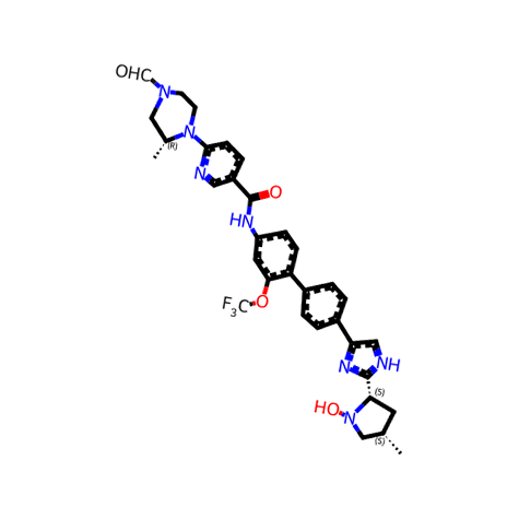 C[C@H]1C[C@@H](c2nc(-c3ccc(-c4ccc(NC(=O)c5ccc(N6CCN(C=O)C[C@H]6C)nc5)cc4OC(F)(F)F)cc3)c[nH]2)N(O)C1